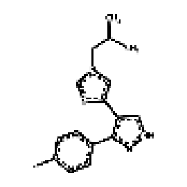 CC(C)Cn1cnc(-c2c[nH]nc2-c2ccc(F)cc2)c1